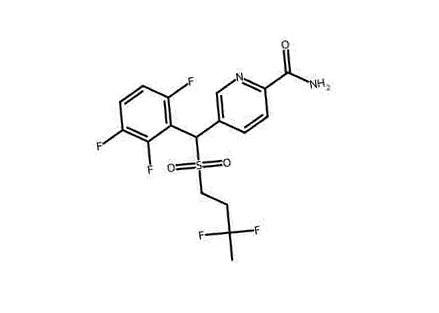 CC(F)(F)CCS(=O)(=O)C(c1ccc(C(N)=O)nc1)c1c(F)ccc(F)c1F